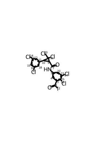 O=C(I)c1cc(NC(=O)C2C(c3cc(Cl)cc(Cl)c3)C2(Cl)Cl)cc(Cl)c1Cl